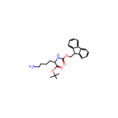 CC(C)(C)OC(=O)C(CCCCN)NC(=O)OCC1c2ccccc2-c2ccccc21